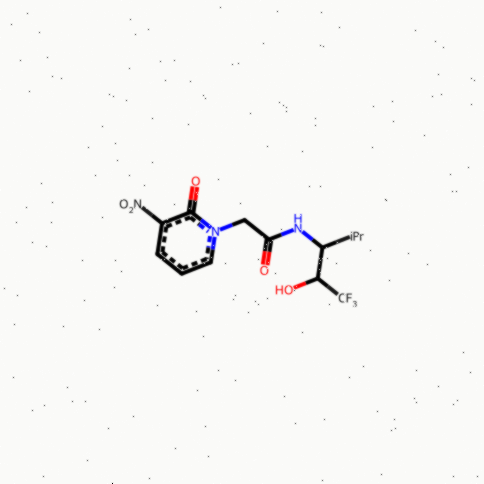 CC(C)C(NC(=O)Cn1cccc([N+](=O)[O-])c1=O)C(O)C(F)(F)F